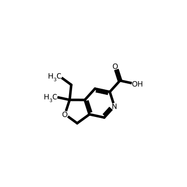 CCC1(C)OCc2cnc(C(=O)O)cc21